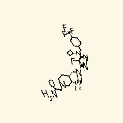 NC(=O)CN1CC[C@H](CNc2ncnc(N(CC3CCC(C(F)(F)F)CC3)C3CCC3)c2F)[C@@H](O)C1